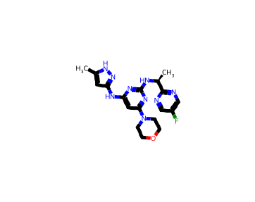 Cc1cc(Nc2cc(N3CCOCC3)nc(N[C@@H](C)c3ncc(F)cn3)n2)n[nH]1